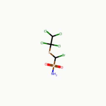 NS(=O)(=O)C(Br)SC(Cl)(Cl)C(Cl)Cl